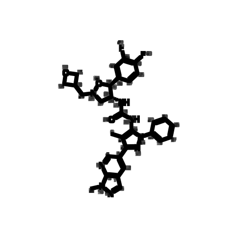 Cc1c(-c2cnc3c(cnn3C)c2)nn(-c2ccccc2)c1NC(=O)N[C@@H]1CN(CC2COC2)O[C@H]1c1ccc(F)c(F)c1